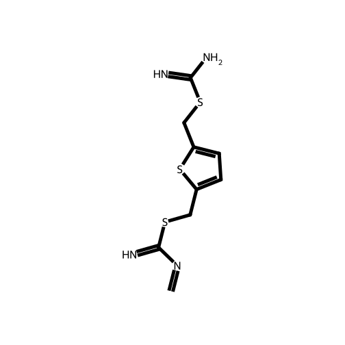 C=NC(=N)SCc1ccc(CSC(=N)N)s1